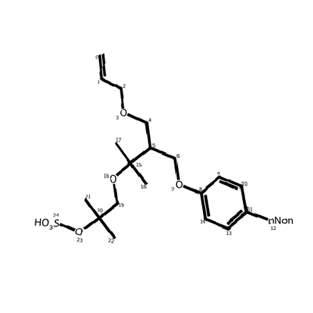 C=CCOCC(COc1ccc(CCCCCCCCC)cc1)C(C)(C)OCC(C)(C)OS(=O)(=O)O